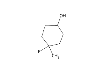 CC1(F)CCC(O)CC1